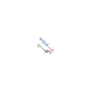 N#[N+][O-].[SiH3]Cl